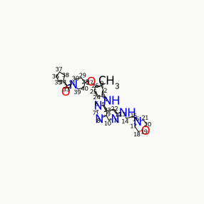 Cc1cc(Nc2ncnc3cnc(NCCN4CCOCC4)cc23)ccc1OC1CCN(C(=O)C2CCCC2)CC1